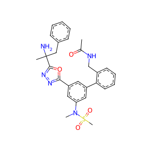 CC(=O)NCc1ccccc1-c1cc(-c2nnc(C(C)(N)Cc3ccccc3)o2)cc(N(C)S(C)(=O)=O)c1